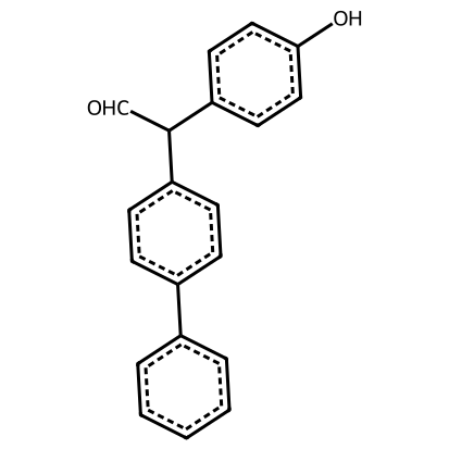 O=CC(c1ccc(O)cc1)c1ccc(-c2ccccc2)cc1